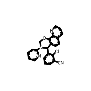 N#Cc1cccc(C2c3ccc4cccnc4c3OCN2c2ccccn2)c1Cl